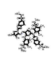 CCCCNS(=O)(=O)c1ccc2nc(N(c3ccc(/N=N/c4c(C#N)c(C(C)(C)C)nn4-c4nc5ccc(S(=O)(=O)NCCCC)cc5s4)c(Nc4cc(S(=O)(=O)NCCCC)c(C)cc4C)n3)c3c(C)cc(C)c(S(=O)(=O)NCCCC)c3C)sc2c1